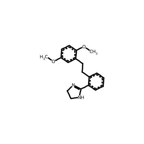 COc1ccc(OC)c(CCc2ccccc2C2=NCCN2)c1